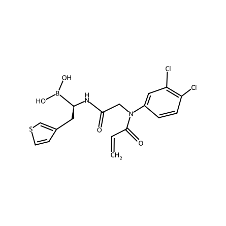 C=CC(=O)N(CC(=O)N[C@@H](Cc1ccsc1)B(O)O)c1ccc(Cl)c(Cl)c1